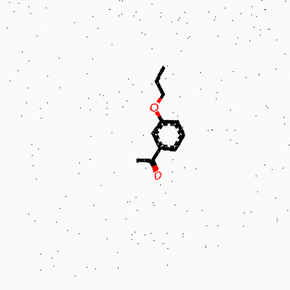 CCCOc1cccc(C(C)=O)c1